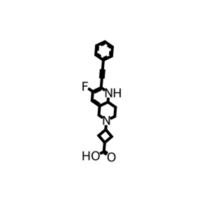 O=C(O)C1CC(N2CCC3NC(C#Cc4ccccc4)=C(F)C=C3C2)C1